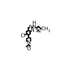 Cc1cc(Nc2ncc3cc(Cl)c(C4CCN(C5COC5)CC4)cc3n2)sn1